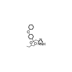 CCC1COC(Cc2nc[nH]n2)(c2ccc(Oc3ccccc3)cc2)O1